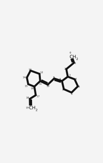 C=CCC1CCCCC1=CC=C1CCCCC1CC=C